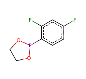 Fc1ccc(P2OCCO2)c(F)c1